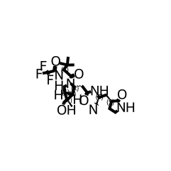 CC(C)(C)[C@H](NC(=O)C(F)(F)F)C(=O)N1C[C@H]2[C@@H]([C@H]1CC(=O)N[C@H](C#N)C[C@@H]1CCNC1=O)[C@]2(C)CO